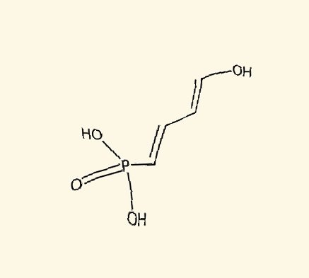 O=P(O)(O)C=CC=CO